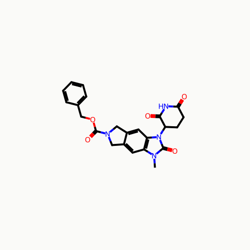 Cn1c(=O)n(C2CCC(=O)NC2=O)c2cc3c(cc21)CN(C(=O)OCc1ccccc1)C3